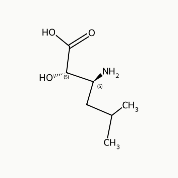 CC(C)C[C@H](N)[C@H](O)C(=O)O